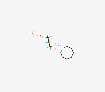 O=S(=O)(NN1CCCCCCC1)C(F)(F)C(F)(F)C(F)(F)SOOO